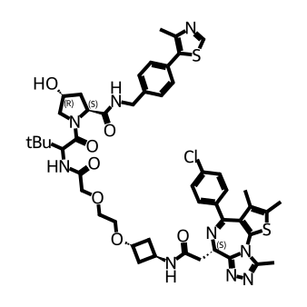 Cc1ncsc1-c1ccc(CNC(=O)[C@@H]2C[C@@H](O)CN2C(=O)C(NC(=O)COCCO[C@H]2C[C@H](NC(=O)C[C@@H]3N=C(c4ccc(Cl)cc4)c4c(sc(C)c4C)-n4c(C)nnc43)C2)C(C)(C)C)cc1